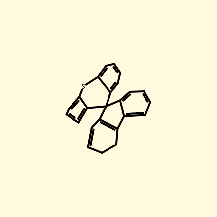 C1=CC2=C(CC1)c1ccccc1C21c2ccccc2Sc2ccccc21